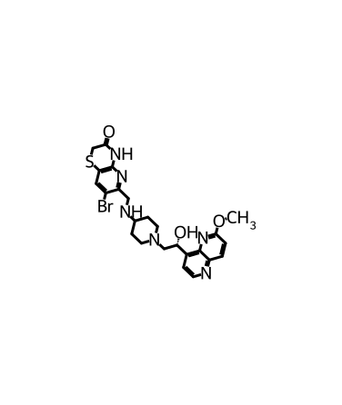 COc1ccc2nccc([C@@H](O)CN3CCC(NCc4nc5c(cc4Br)SCC(=O)N5)CC3)c2n1